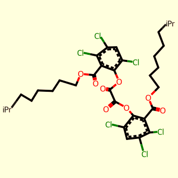 CC(C)CCCCCCOC(=O)c1c(Cl)c(Cl)cc(Cl)c1OC(=O)C(=O)Oc1c(Cl)cc(Cl)c(Cl)c1C(=O)OCCCCCCC(C)C